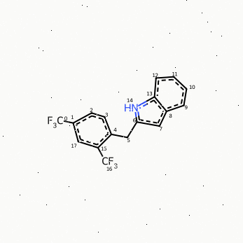 FC(F)(F)c1ccc(Cc2cc3ccccc3[nH]2)c(C(F)(F)F)c1